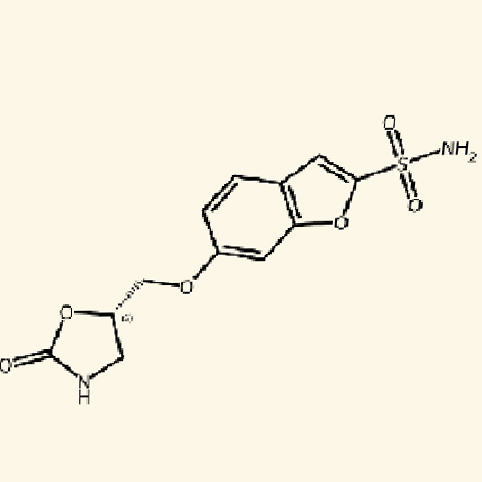 NS(=O)(=O)c1cc2ccc(OC[C@@H]3CNC(=O)O3)cc2o1